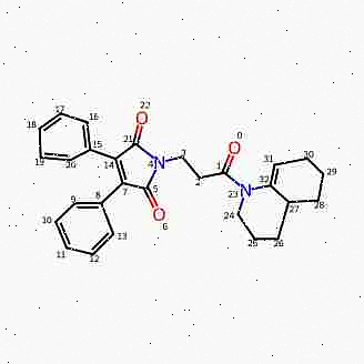 O=C(CCN1C(=O)C(c2ccccc2)=C(c2ccccc2)C1=O)N1CCCC2CCCC=C21